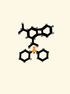 C1CCC(PC2CCCCC2)CC1.CC(C)c1cc2c(c(C(C)C)c1)-c1ccccc1-2